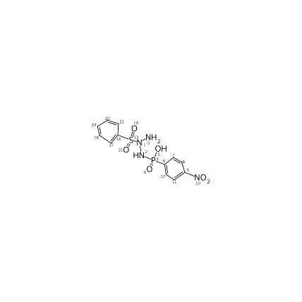 NN(NP(=O)(O)c1ccc([N+](=O)[O-])cc1)S(=O)(=O)c1ccccc1